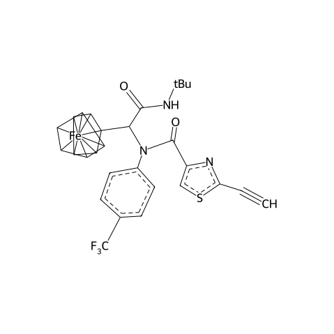 C#Cc1nc(C(=O)N(c2ccc(C(F)(F)F)cc2)C(C(=O)NC(C)(C)C)[C]23[CH]4[CH]5[CH]6[CH]2[Fe]56432789[CH]3[CH]2[CH]7[CH]8[CH]39)cs1